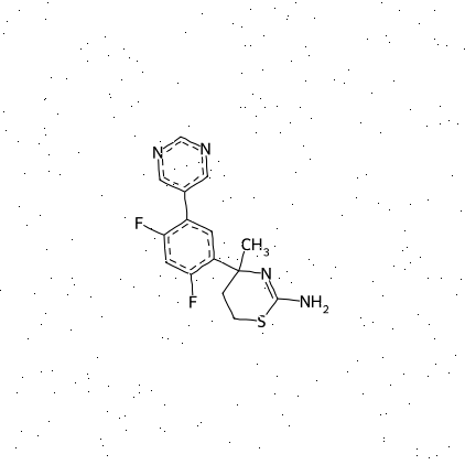 CC1(c2cc(-c3cncnc3)c(F)cc2F)CCSC(N)=N1